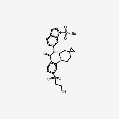 CC(C)(C)S(=O)(=O)n1ccc2ccc(NC(=O)c3ccc(S(=O)(=O)CCO)cc3N3CCC4(CC3)CC4)cc21